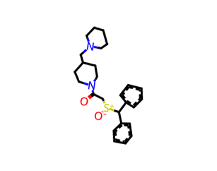 O=C(C[S+]([O-])C(c1ccccc1)c1ccccc1)N1CCC(CN2CCCCC2)CC1